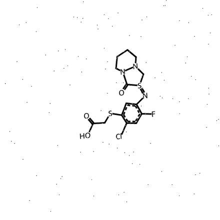 O=C(O)CSc1cc(/N=S2/CN3CCCCN3C2=O)c(F)cc1Cl